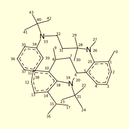 Cc1cccc(CCC(C)c2cccc(C(C)C)c2N(C)C(C)(C)C)c1N(C)C(C)(C)CCN(c1ccccc1)C(C)(C)C